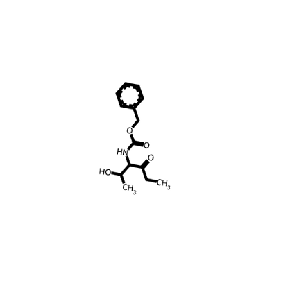 CCC(=O)C(NC(=O)OCc1ccccc1)C(C)O